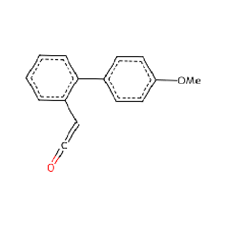 COc1ccc(-c2ccccc2C=C=O)cc1